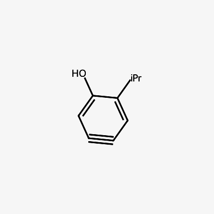 CC(C)c1cc#ccc1O